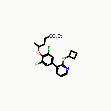 CCOC(=O)CCC(C)Oc1c(F)cc(-c2cccnc2SC2CCC2)cc1F